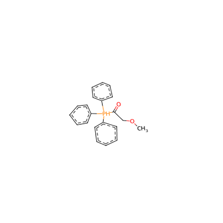 COCC(=O)[PH](c1ccccc1)(c1ccccc1)c1ccccc1